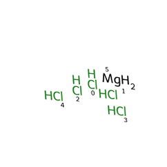 Cl.Cl.Cl.Cl.Cl.[MgH2]